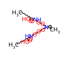 CCCCCCCCC(CC(=O)NCCOCCOCCOCCN(CCOCCOCCNC(=O)CC(CCCCCCCC)C(=O)O)c1cccc(C)c1)C(=O)O